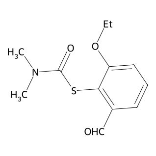 CCOc1cccc(C=O)c1SC(=O)N(C)C